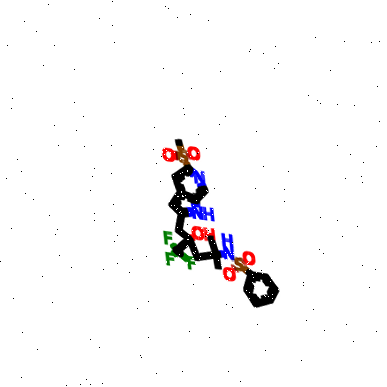 CC(C)(CC(O)(Cc1cc2cc(S(C)(=O)=O)ncc2[nH]1)C(F)(F)F)NS(=O)(=O)c1ccccc1